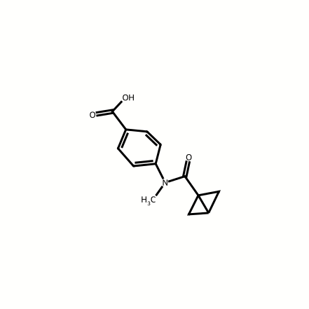 CN(C(=O)C12CC1C2)c1ccc(C(=O)O)cc1